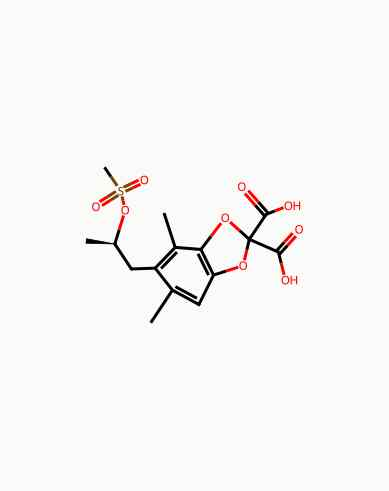 Cc1cc2c(c(C)c1C[C@@H](C)OS(C)(=O)=O)OC(C(=O)O)(C(=O)O)O2